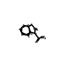 NC(=S)C1NCc2ccccc21